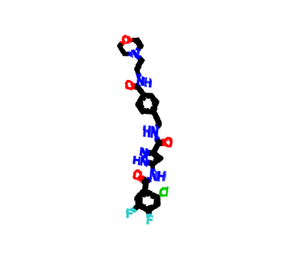 O=C(NCCN1CCOCC1)c1ccc(CNC(=O)c2cc(NC(=O)c3cc(F)c(F)cc3Cl)[nH]n2)cc1